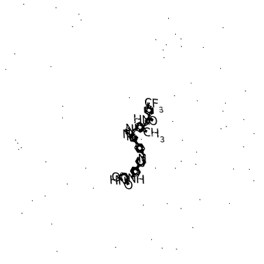 Cc1cc(-c2ncnn3cc(-c4ccc(CN5CCC(c6ccc(NC7CCC(=O)NC7=O)cc6)CC5)cc4)cc23)ccc1CNC(=O)c1ccc(C(F)(F)F)cc1